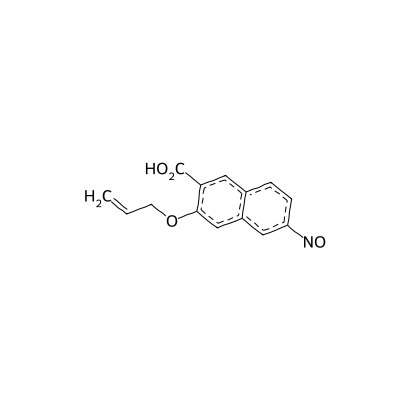 C=CCOc1cc2cc(N=O)ccc2cc1C(=O)O